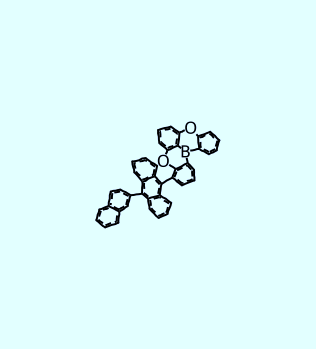 c1ccc2c(c1)Oc1cccc3c1B2c1cccc(-c2c4ccccc4c(-c4ccc5ccccc5c4)c4ccccc24)c1O3